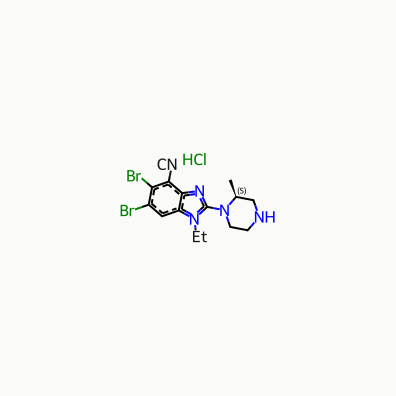 CCn1c(N2CCNC[C@@H]2C)nc2c(C#N)c(Br)c(Br)cc21.Cl